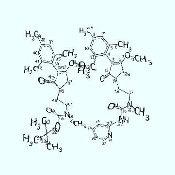 COC1=C(c2c(C)cc(C)cc2C)C(=O)C(CCN(C)C(=O)Nc2ccccn2)C1.COC1=C(c2c(C)cc(C)cc2C)C(=O)C(CCN(C)C(=O)OC(C)(C)C)C1